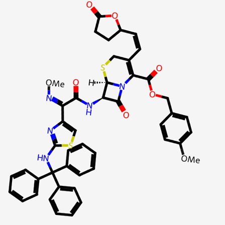 CO/N=C(\C(=O)N[C@@H]1C(=O)N2C(C(=O)OCc3ccc(OC)cc3)=C(/C=C\C3CCC(=O)O3)CS[C@H]12)c1csc(NC(c2ccccc2)(c2ccccc2)c2ccccc2)n1